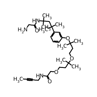 CC#CCNC(=O)COCCC(C)(C)OCCC(C)(C)Oc1cccc(C(C)(C)CC(C)(C)NC(=O)CN)c1